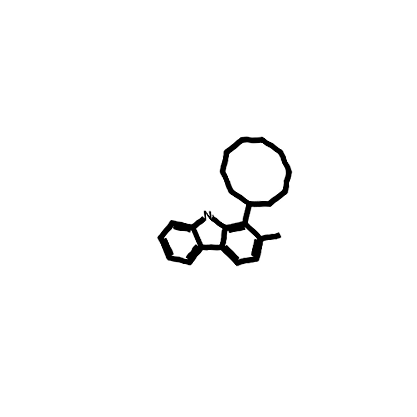 Cc1ccc2c(c1C1CCCCCCCCC1)[N]c1ccccc1-2